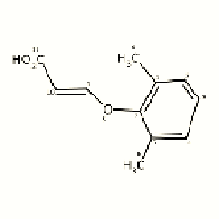 Cc1cccc(C)c1OC=CC(=O)O